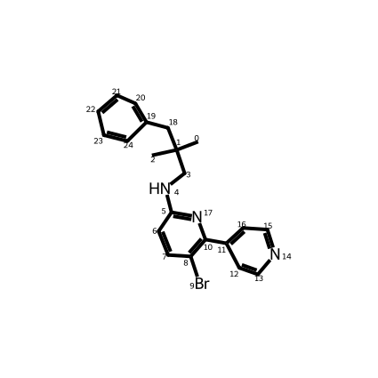 CC(C)(CNc1ccc(Br)c(-c2ccncc2)n1)Cc1ccccc1